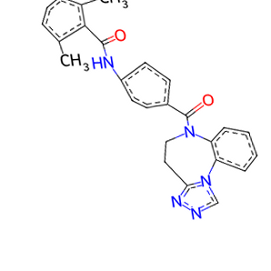 Cc1cccc(C)c1C(=O)Nc1ccc(C(=O)N2CCc3nncn3-c3ccccc32)cc1